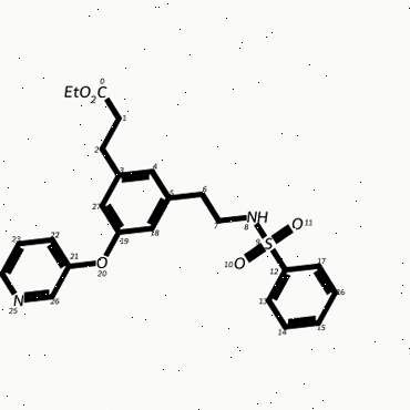 CCOC(=O)CCc1cc(CCNS(=O)(=O)c2ccccc2)cc(Oc2cccnc2)c1